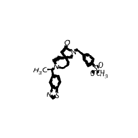 C[C@H](c1ccc2scnc2c1)N1CCC2(CC1)CC(=O)N(Cc1ccc(S(C)(=O)=O)cc1)C2